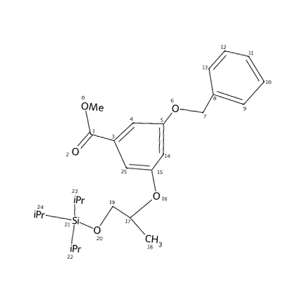 COC(=O)c1cc(OCc2ccccc2)cc(OC(C)CO[Si](C(C)C)(C(C)C)C(C)C)c1